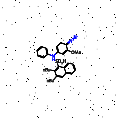 CCCCc1cc2ccccc2c(S(=O)(=O)O)c1CCCC.COC1=CC(Nc2ccccc2)=CCC1=[N+]=[N-]